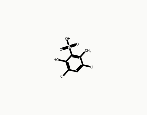 Cc1c(Cl)cc(Cl)c(O)c1S(=O)(=O)O